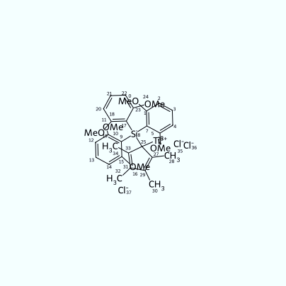 COc1cccc(OC)c1[Si](c1c(OC)cccc1OC)(c1c(OC)cccc1OC)[C]1([Ti+3])C(C)=C(C)C(C)=C1C.[Cl-].[Cl-].[Cl-]